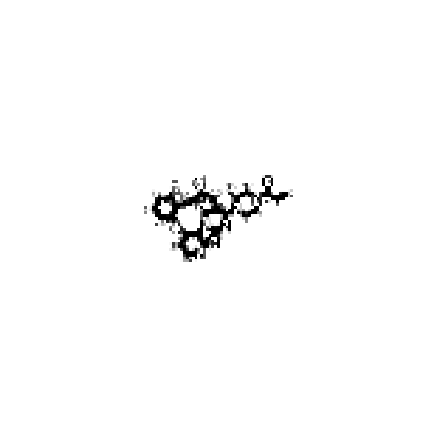 C=CC(=O)N1CCN(c2nc(=O)n3c4nc(c(Cl)cc24)c2c(F)cccc2oc2ccnc(CC)c23)[C@@H](C)C1